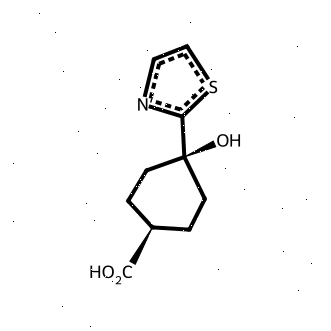 O=C(O)[C@H]1CC[C@](O)(c2nccs2)CC1